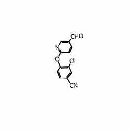 N#Cc1ccc(Oc2ccc(C=O)cn2)c(Cl)c1